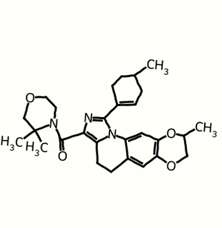 CC1CC=C(c2nc(C(=O)N3CCOCC3(C)C)c3n2-c2cc4c(cc2CC3)OCC(C)O4)CC1